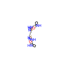 Cc1[nH]c2ccccc2c1CC(=O)Nc1nnc(CCCCc2nnc(NC(=O)Cc3c(C)[nH]c4ccccc34)s2)s1